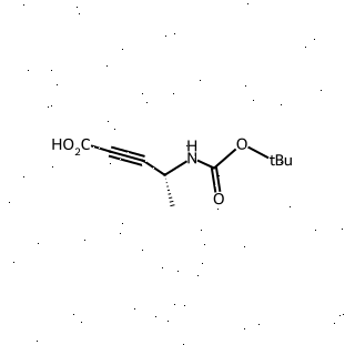 C[C@H](C#CC(=O)O)NC(=O)OC(C)(C)C